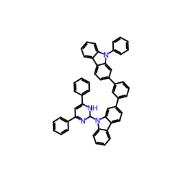 C1=C(c2ccccc2)NC(n2c3ccccc3c3ccc(-c4cccc(-c5ccc6c7ccccc7n(-c7ccccc7)c6c5)c4)cc32)N=C1c1ccccc1